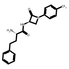 N[C@@H](CCc1ccccc1)C(=O)N[C@@H]1CN(c2ccc(C(F)(F)F)cc2)C1=O